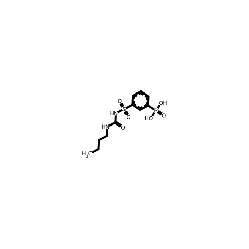 CCCCNC(=O)NS(=O)(=O)c1cccc(P(=O)(O)O)c1